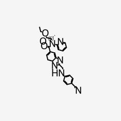 CCOC(=O)[C@H](C)N(C(=O)C1=CCC2C(=C1)N=C(CNc1ccc(C#N)cc1)N2C)c1ccccn1